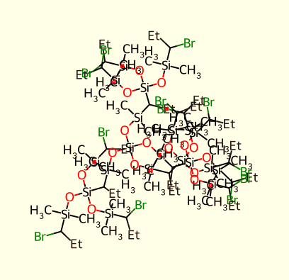 CCC(Br)[Si](C)(C)O[Si](O[Si](C)(C)C(Br)CC)(O[Si](C)(C)C(Br)CC)C(CC)[Si](C)(C)O[Si](O[Si](C)(C)C(CC)[Si](O[Si](C)(C)C(Br)CC)(O[Si](C)(C)C(Br)CC)O[Si](C)(C)C(Br)CC)(O[Si](C)(C)C(CC)[Si](O[Si](C)(C)C(Br)CC)(O[Si](C)(C)C(Br)CC)O[Si](C)(C)C(Br)CC)O[Si](C)(C)C(CC)[Si](O[Si](C)(C)C(Br)CC)(O[Si](C)(C)C(Br)CC)O[Si](C)(C)C(Br)CC